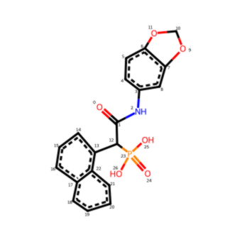 O=C(Nc1ccc2c(c1)OCO2)C(c1cccc2ccccc12)P(=O)(O)O